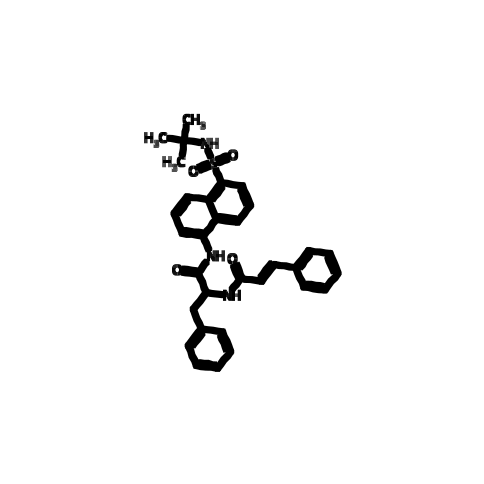 CC(C)(C)NS(=O)(=O)c1cccc2c(NC(=O)C(Cc3ccccc3)NC(=O)C=Cc3ccccc3)cccc12